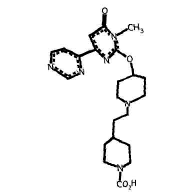 Cn1c(OC2CCN(CCC3CCN(C(=O)O)CC3)CC2)nc(-c2ccncn2)cc1=O